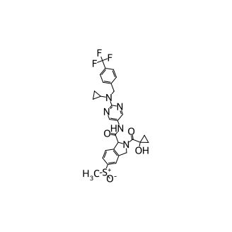 C[S+]([O-])c1ccc2c(c1)CN(C(=O)C1(O)CC1)C2C(=O)Nc1cnc(N(Cc2ccc(C(F)(F)F)cc2)C2CC2)nc1